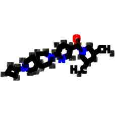 CC1CC(C)CN(C(=O)c2ccc(N3CCC4(CC3)CCN(C3CCC3)CC4)nc2)C1